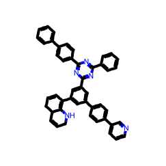 C1=CC2CC=CC(c3cc(-c4ccc(-c5cccnc5)cc4)cc(-c4nc(-c5ccccc5)nc(-c5ccc(-c6ccccc6)cc5)n4)c3)=C2NC1